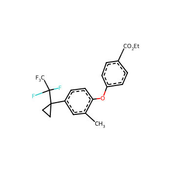 CCOC(=O)c1ccc(Oc2ccc(C3(C(F)(F)C(F)(F)F)CC3)cc2C)cc1